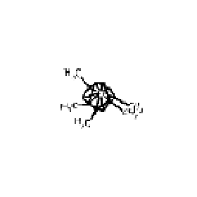 C[C]12[CH]3[CH]4[C]5(C)[CH]1[Fe]34251678[CH]2[C]1(C)[CH]6[C]7(C)[C]28C